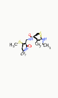 CCNc1scc(C(=O)NCc2c(SC)cc(C)[nH]c2=O)c1C